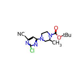 CC1CN(c2cc(C#N)nc(Cl)n2)CCN1C(=O)OC(C)(C)C